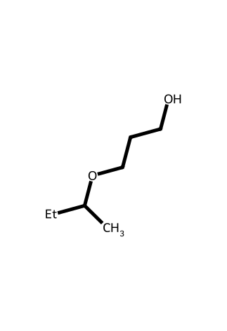 CCC(C)OCCCO